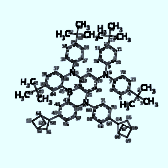 CC(C)(C)c1ccc(N(c2ccc(C(C)(C)C)cc2)c2cc3c4c(c2)N(c2ccc(C(C)(C)C)cc2)c2ccc(C(C)(C)C)cc2B4c2cc(C4CC5CC4C5)ccc2N3c2ccc(C3CC4CC3C4)cc2)cc1